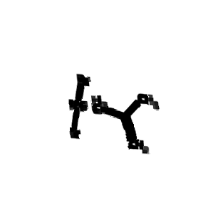 C=C(C)C.[Br][Mg][Br]